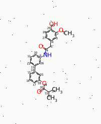 COc1cc(CC(=O)Nc2cccc(-c3cccc(OC(=O)C(C)C)c3)c2)ccc1O